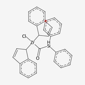 O=[C]([SiH](c1ccccc1)c1ccccc1)[Zr]([Cl])([CH]1C=Cc2ccccc21)[CH]1C=Cc2ccccc21